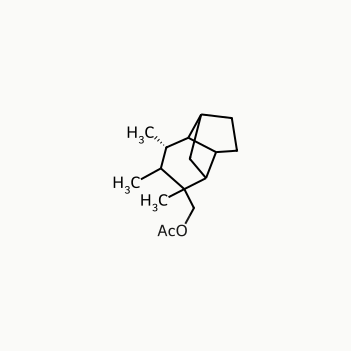 CC(=O)OCC1(C)C2CC3CCC2C3[C@@H](C)C1C